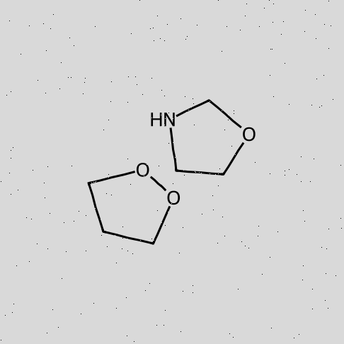 C1COCN1.C1COOC1